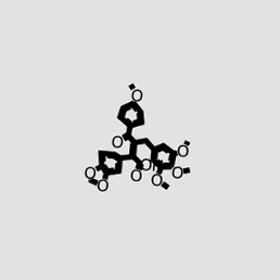 COc1ccc(C(=O)/C(Cc2cc(OC)c(OC)c(OC)c2)=C(/C(=O)O)c2ccc3c(c2)OCO3)cc1